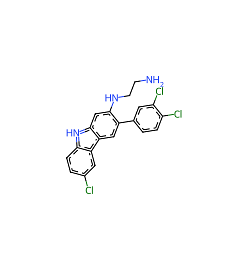 NCCNc1cc2[nH]c3ccc(Cl)cc3c2cc1-c1ccc(Cl)c(Cl)c1